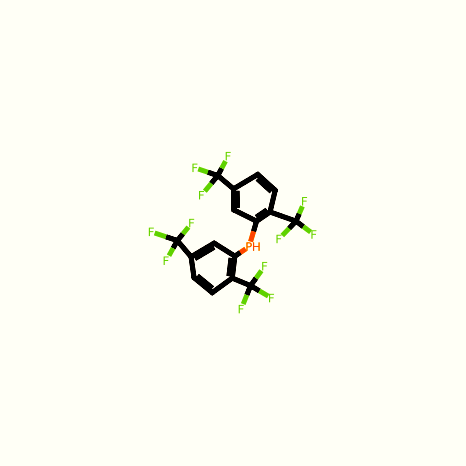 FC(F)(F)c1ccc(C(F)(F)F)c(Pc2cc(C(F)(F)F)ccc2C(F)(F)F)c1